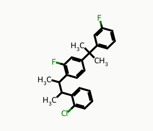 CC(c1ccc(C(C)(C)c2cccc(F)c2)cc1F)C(C)c1ccccc1Cl